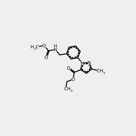 CCOC(=O)c1cc(C)nn1-c1cccc(CNC(=O)OC)c1